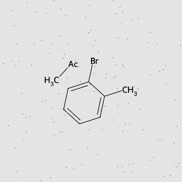 CC(C)=O.Cc1ccccc1Br